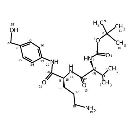 CC(C)[C@H](NC(=O)OC(C)(C)C)C(=O)N[C@@H](CCCN)C(=O)Nc1ccc(CO)cc1